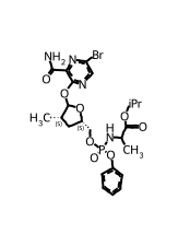 CC(C)OC(=O)C(C)NP(=O)(OC[C@@H]1C[C@H](C)C(Oc2ncc(Br)nc2C(N)=O)O1)Oc1ccccc1